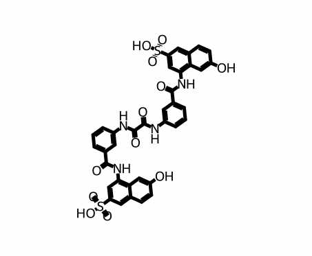 O=C(Nc1cccc(C(=O)Nc2cc(S(=O)(=O)O)cc3ccc(O)cc23)c1)C(=O)Nc1cccc(C(=O)Nc2cc(S(=O)(=O)O)cc3ccc(O)cc23)c1